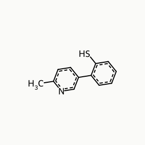 Cc1ccc(-c2ccccc2S)cn1